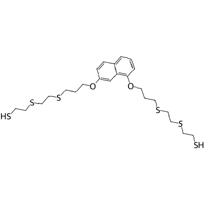 SCCSCCSCCCOc1ccc2cccc(OCCCSCCSCCS)c2c1